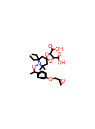 CCC1(CC)CC2(CC(C)(C)N1OC(C)c1ccc(OCC3CO3)cc1)OC(C(=O)O)C(C(=O)O)O2